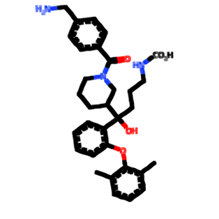 Cc1cccc(C)c1Oc1ccccc1C(O)(CCCNC(=O)O)C1CCCN(C(=O)c2ccc(CN)cc2)C1